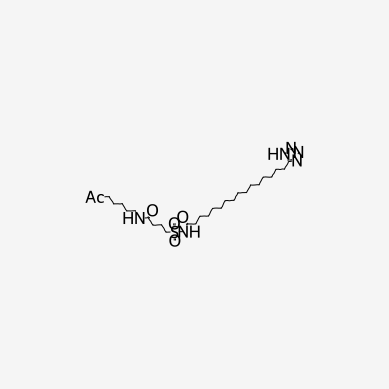 CC(=O)CCCCCNC(=O)CCCS(=O)(=O)NC(=O)CCCCCCCCCCCCCCCc1nnn[nH]1